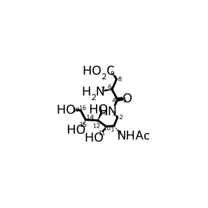 CC(=O)N[C@@H](CNC(=O)[C@@H](N)CC(=O)O)[C@@H](O)[C@H](O)[C@H](O)CO